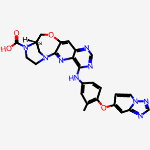 Cc1cc(Nc2ncnc3cc4c(nc23)N2CCN(C(=O)O)[C@H](CO4)C2)ccc1Oc1ccn2ncnc2c1